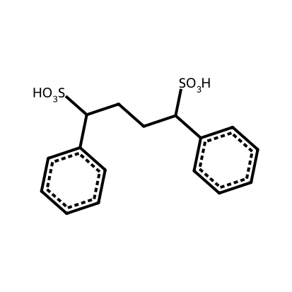 O=S(=O)(O)C(CCC(c1ccccc1)S(=O)(=O)O)c1ccccc1